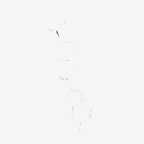 O=C(N[C@H]1CC[C@H](C(=O)O)CC1)c1cc2cc(Cl)ccc2[nH]1